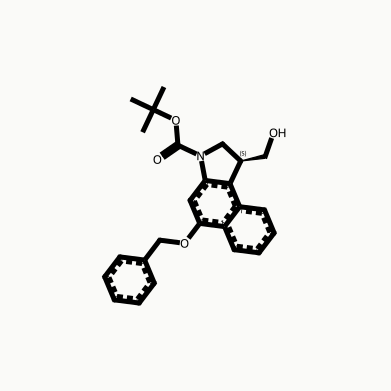 CC(C)(C)OC(=O)N1C[C@@H](CO)c2c1cc(OCc1ccccc1)c1ccccc21